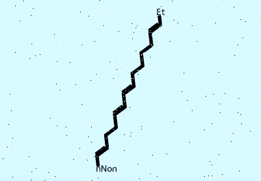 CCC=CCCCCC=CC=CCCC=CCCCCCCCCC